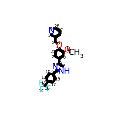 COc1cc(-c2c[nH]c(-c3ccc(C(F)(F)F)cc3)n2)ccc1OCc1cccnc1